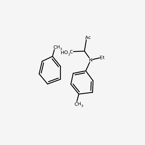 CCN(c1ccc(C)cc1)C(C(C)=O)C(=O)O.Cc1ccccc1